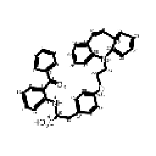 O=C(c1ccccc1)c1ccccc1NC(Cc1ccc(OCCN2c3ccccc3C=Cc3ccccc32)cc1)C(=O)O